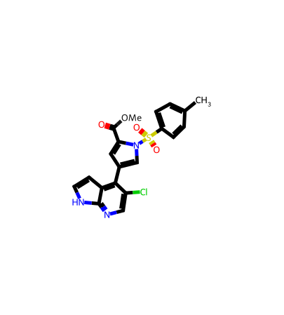 COC(=O)c1cc(-c2c(Cl)cnc3[nH]ccc23)cn1S(=O)(=O)c1ccc(C)cc1